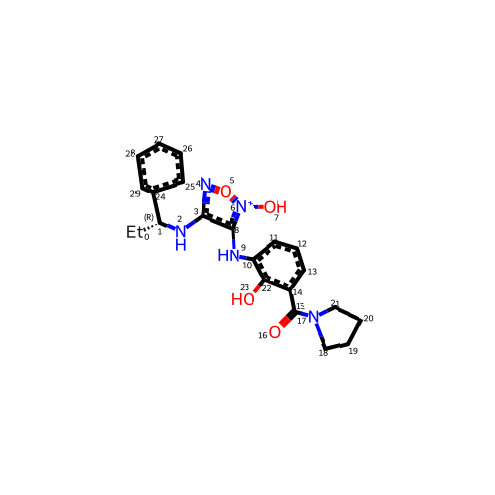 CC[C@@H](Nc1no[n+](O)c1Nc1cccc(C(=O)N2CCCC2)c1O)c1ccccc1